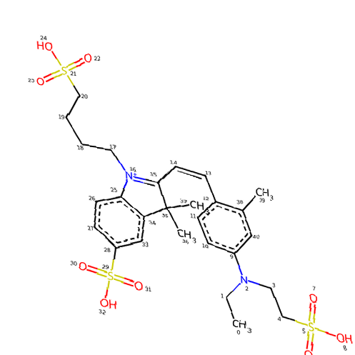 CCN(CCS(=O)(=O)O)c1ccc(/C=C\C2=[N+](CCCCS(=O)(=O)O)c3ccc(S(=O)(=O)O)cc3C2(C)C)c(C)c1